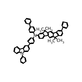 CC1(C)c2ccc(-c3ccccc3)cc2-c2cc3c(cc21)-c1ccc(N(c2ccc(-c4ccccc4)cc2)c2ccc(-c4ccc5c(c4)c4ccccc4n5-c4ccccc4)cc2)cc1C3(C)C